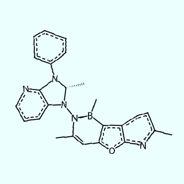 CB1c2c(oc3nc(C)ccc23)C=C(C)N1N1c2cccnc2N(c2ccccc2)[C@@H]1C